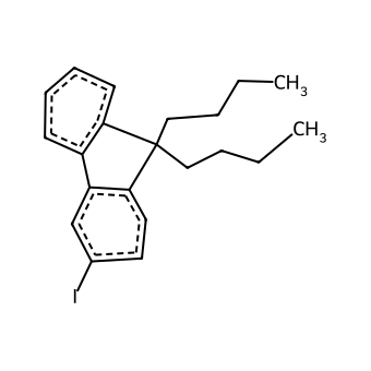 CCCCC1(CCCC)c2ccccc2-c2cc(I)ccc21